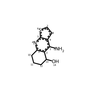 Nc1c2c(nc3sccc13)CCCC2O